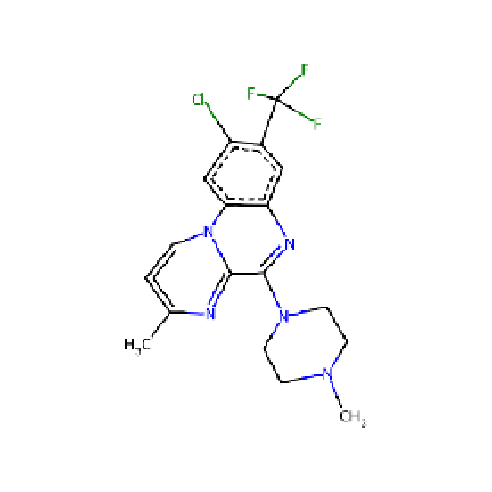 CC1=C=CN2C(=N1)C(N1CCN(C)CC1)=Nc1cc(C(F)(F)F)c(Cl)cc12